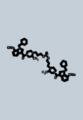 COc1cccc2c(C(=O)N3CCN(CCCO[N+](=O)OCCCN4CCN(C(=O)c5cn(CC6CCCCC6)c6c(OC)cccc56)CC4C)C(C)C3)cn(CC3CCCCC3)c12